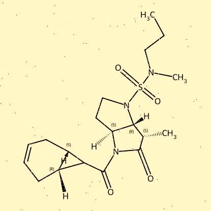 CCCN(C)S(=O)(=O)N1CC[C@H]2[C@H]1[C@H](C)C(=O)N2C(=O)C1[C@H]2CC=CC[C@@H]12